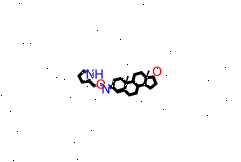 C[C@]12CC/C(=N\OCC3CCCN3)C=C1CCC1C2CC[C@]2(C)C(=O)CCC12